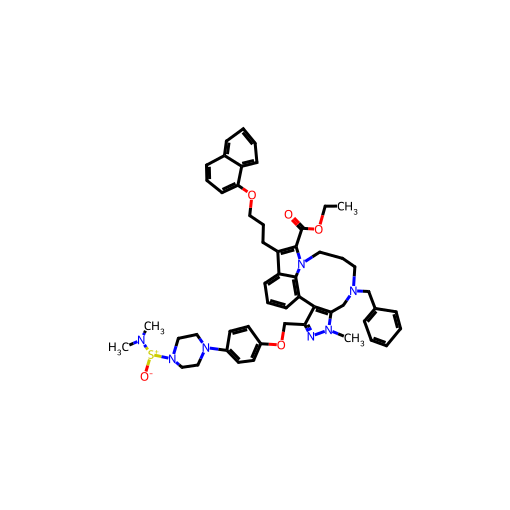 CCOC(=O)c1c(CCCOc2cccc3ccccc23)c2cccc3c2n1CCCN(Cc1ccccc1)Cc1c-3c(COc2ccc(N3CCN([S+]([O-])N(C)C)CC3)cc2)nn1C